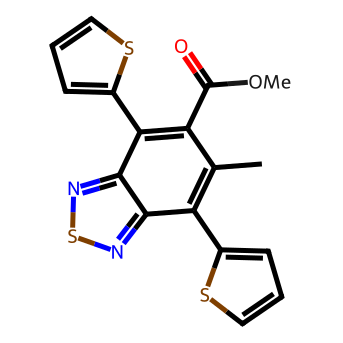 COC(=O)c1c(C)c(-c2cccs2)c2nsnc2c1-c1cccs1